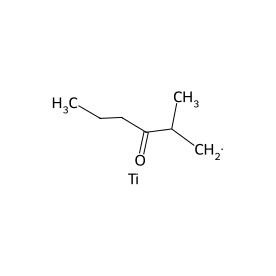 [CH2]C(C)C(=O)CCC.[Ti]